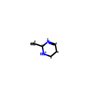 [SiH]C1N=CCCN1